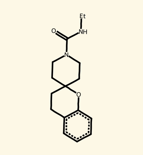 CCNC(=O)N1CCC2(CCc3ccccc3O2)CC1